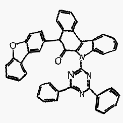 O=C1c2c(c3ccccc3n2-c2nc(-c3ccccc3)nc(-c3ccccc3)n2)-c2ccccc2C1c1ccc2oc3ccccc3c2c1